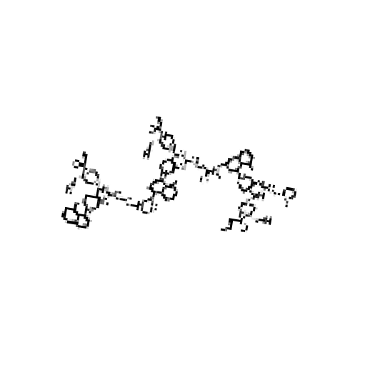 C=CC(=O)N1CCN(c2nc(OCCCN3CCOC(c4ccc(N5CCc6c(nc(OCCC(=O)N(C)Cc7cc(N8CCc9c(nc(OC[C@@H]%10CCCN%10C)nc9N9CCN(C(=O)/C=C/C)[C@@H](CC#N)C9)C8)c8c(C)cccc8c7)nc6N6CCN(C(=O)C=C)[C@@H](CC#N)C6)C5)c5c(C)cccc45)C3)nc3c2CCN(c2cccc4cccc(C)c24)C3)C[C@@H]1CC#N